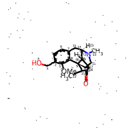 COc1c(CO)ccc2c1[C@]13CCN(C)[C@H](C2)[C@@H]1C=CC(=O)C3C